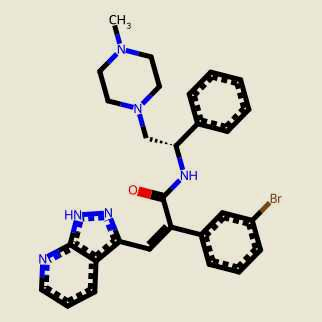 CN1CCN(C[C@@H](NC(=O)C(=Cc2n[nH]c3ncccc23)c2cccc(Br)c2)c2ccccc2)CC1